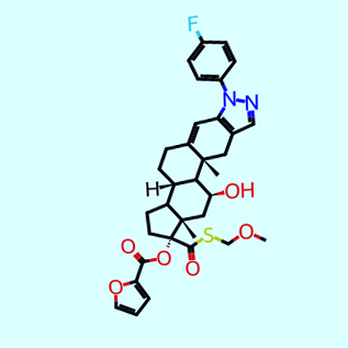 COCSC(=O)[C@@]1(OC(=O)c2ccco2)CCC2[C@@H]3CCC4=Cc5c(cnn5-c5ccc(F)cc5)C[C@]4(C)C3[C@@H](O)C[C@@]21C